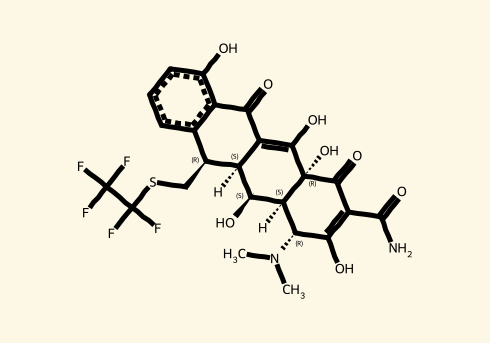 CN(C)[C@H]1C(O)=C(C(N)=O)C(=O)[C@]2(O)C(O)=C3C(=O)c4c(O)cccc4[C@H](CSC(F)(F)C(F)(F)F)[C@@H]3[C@H](O)[C@H]12